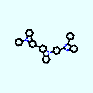 C1=CC2c3cc(-c4ccc5c(c4)c4ccccc4n5-c4ccccc4)ccc3N(c3ccc(-c4nc(-c5ccccc5)c5ccccc5n4)cc3)C2C=C1